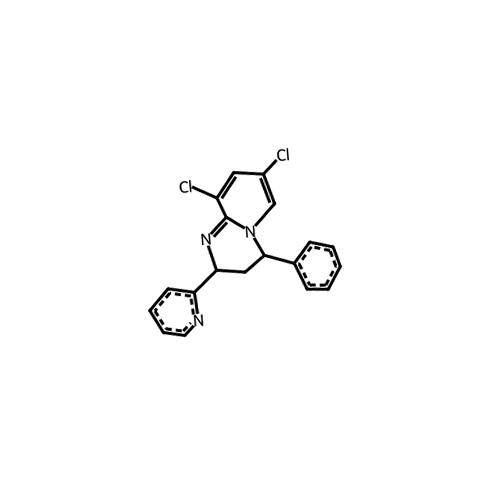 ClC1=CN2C(=NC(c3ccccn3)CC2c2ccccc2)C(Cl)=C1